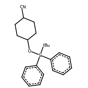 CC(C)(C)[Si](OC1CCC(C#N)CC1)(c1ccccc1)c1ccccc1